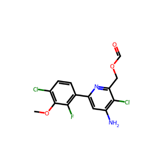 COc1c(Cl)ccc(-c2cc(N)c(Cl)c(COC=O)n2)c1F